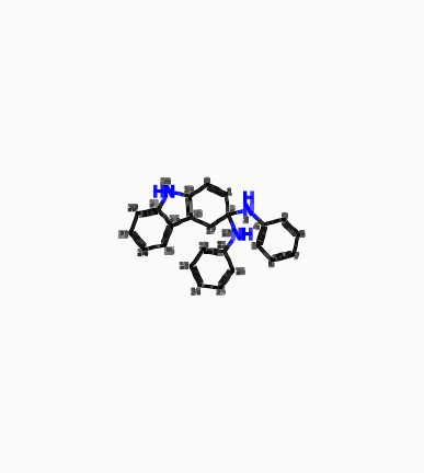 C1=CC(Nc2ccccc2)(Nc2ccccc2)Cc2c1[nH]c1ccccc21